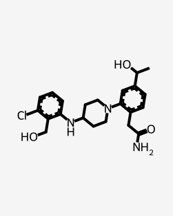 CC(O)c1ccc(CC(N)=O)c(N2CCC(Nc3cccc(Cl)c3CO)CC2)c1